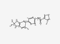 Cc1cscc1C(=O)Nc1ccc(-c2cc3c(cc2C)OC(F)(F)O3)cn1